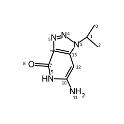 CC(C)n1nnc2c(=O)[nH]c(N)cc21